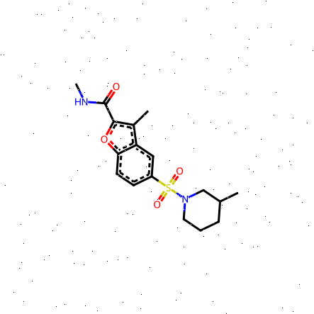 CNC(=O)c1oc2ccc(S(=O)(=O)N3CCCC(C)C3)cc2c1C